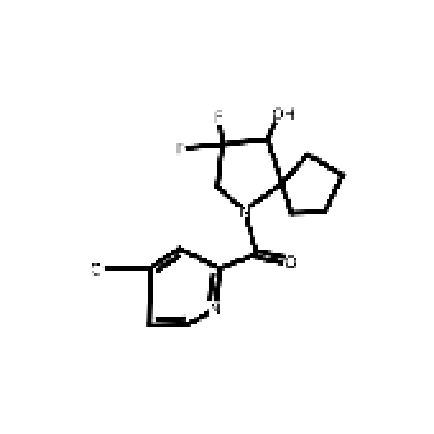 O=C(c1cc(Cl)ccn1)N1CC(F)(F)C(O)C12CCCC2